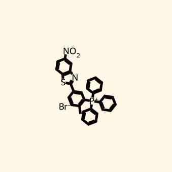 Cc1ccc(-c2nc3cc([N+](=O)[O-])ccc3s2)cc1[P+](c1ccccc1)(c1ccccc1)c1ccccc1.[Br-]